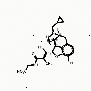 C/C(C(=O)NCC(=O)O)=C(/O)[C@@H]1Oc2c(O)ccc3c2[C@@]12CCN(CC1CC1)[C@H](C3)[C@@]2(C)O